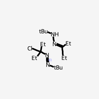 CCC(CC)=NNC(C)(C)C.CCC(Cl)(CC)/N=N/C(C)(C)C